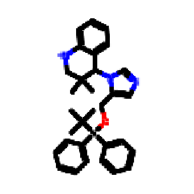 CC1(C)CNc2ccccc2C1n1cncc1CO[Si](c1ccccc1)(c1ccccc1)C(C)(C)C